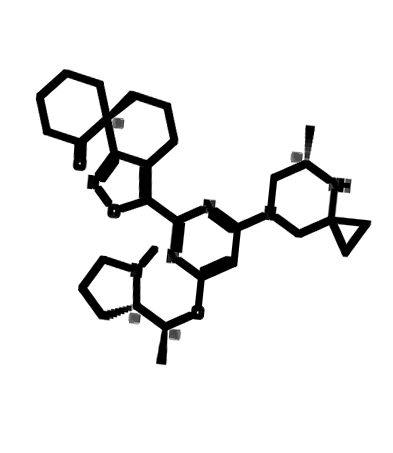 C[C@H](Oc1cc(N2C[C@H](C)NC3(CC3)C2)nc(-c2onc3c2CCC[C@@]32CCCCC2=O)n1)[C@@H]1CCCN1C